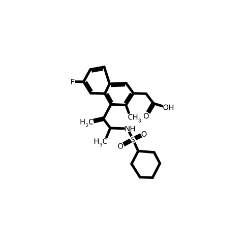 C=C(c1c(C)c(CC(=O)O)cc2ccc(F)cc12)C(C)NS(=O)(=O)C1CCCCC1